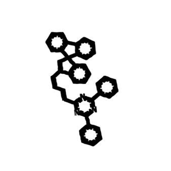 C1=C(/C=C\C=C\c2nc(-c3ccccc3)nc(-c3ccccc3)n2)c2ccccc2C12c1ccccc1-c1ccccc12